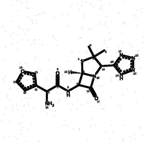 CC1(C)S[C@@H]2C(NC(=O)C(N)c3ccoc3)C(=O)N2C1c1nnn[nH]1